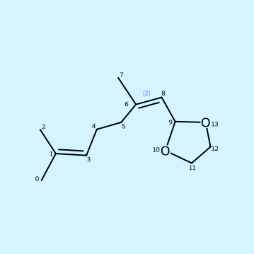 CC(C)=CCC/C(C)=C\C1OCCO1